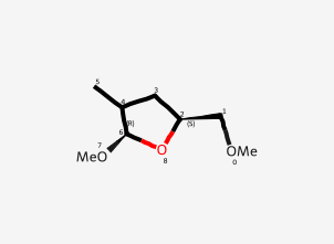 COC[C@@H]1CC(C)[C@H](OC)O1